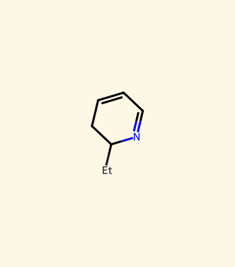 [CH2]CC1CC=CC=N1